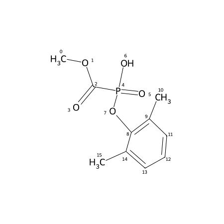 COC(=O)P(=O)(O)Oc1c(C)cccc1C